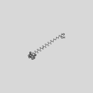 O=[C]C(O)CCCCCCCCCCCCC=CCCCCCCCC([N+](=O)[O-])([N+](=O)[O-])[N+](=O)[O-]